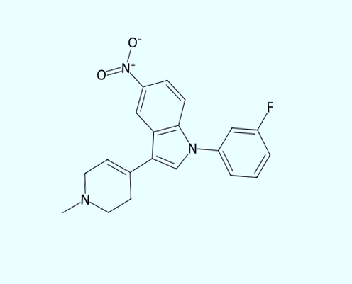 CN1CC=C(c2cn(-c3cccc(F)c3)c3ccc([N+](=O)[O-])cc23)CC1